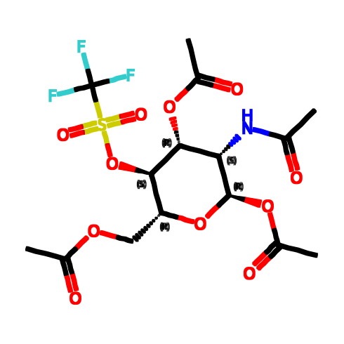 CC(=O)N[C@@H]1[C@@H](OC(C)=O)O[C@H](COC(C)=O)[C@@H](OS(=O)(=O)C(F)(F)F)[C@@H]1OC(C)=O